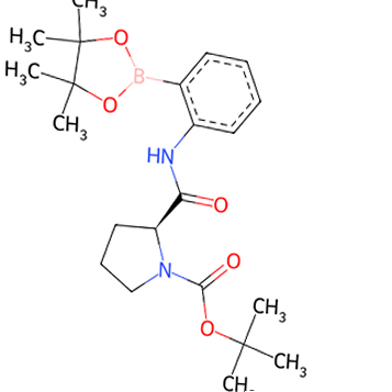 CC(C)(C)OC(=O)N1CCC[C@H]1C(=O)Nc1ccccc1B1OC(C)(C)C(C)(C)O1